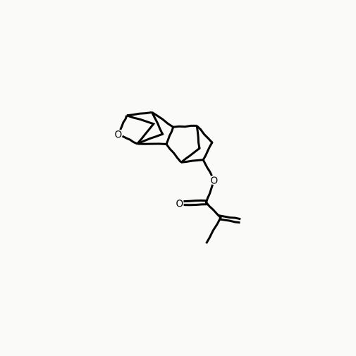 C=C(C)C(=O)OC1CC2CC1C1C2C2CC13CC2O3